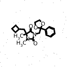 CN1C(=O)N(CC2(c3ccccc3)OCCO2)C(=O)C1(C)CC1CCC1